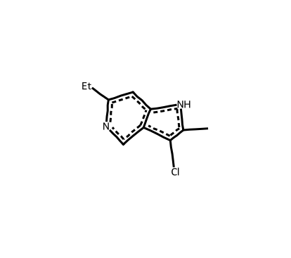 CCc1cc2[nH]c(C)c(Cl)c2cn1